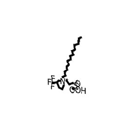 CCCCCCCCCCCCCCCC[N+]1(CCCS(=O)(=O)O)CCCC(C(F)(F)F)C1